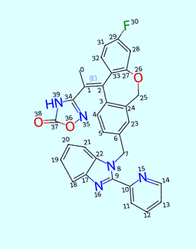 C/C(=C1/c2ccc(Cn3c(-c4ccccn4)nc4ccccc43)cc2COc2cc(F)ccc21)c1noc(=O)[nH]1